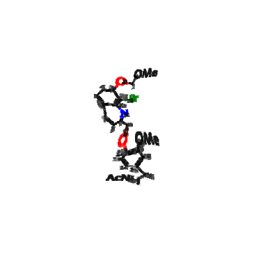 COCOc1ccc2ccc(COc3ccc(CNC(C)=O)cc3OC)nc2c1Br